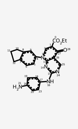 CCOC(=O)c1cn(-c2ccc3c(c2)CCC3)c2nc(Nc3ccc(N)cc3)ncc2c1=O